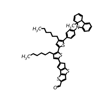 CCCCCCc1cc(-c2sc(C3=Cc4c(sc5cc(C=O)sc45)C3)cc2CCCCCC)sc1-c1ccc(N2c3ccccc3C3C=CC=CC32C)cc1